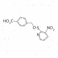 O=C(O)c1ccc(COSc2ncccc2[N+](=O)[O-])cc1